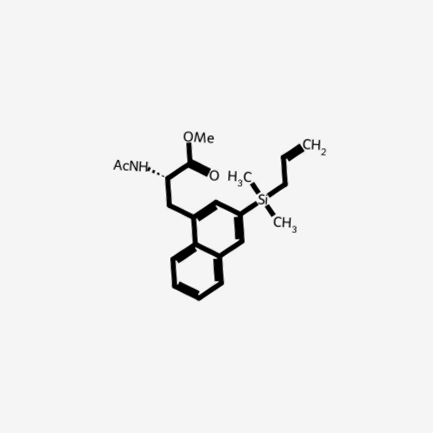 C=CC[Si](C)(C)c1cc(C[C@H](NC(C)=O)C(=O)OC)c2ccccc2c1